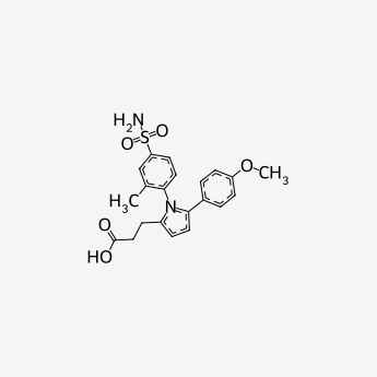 COc1ccc(-c2ccc(CCC(=O)O)n2-c2ccc(S(N)(=O)=O)cc2C)cc1